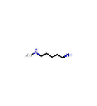 CCCCNCCCCC=N